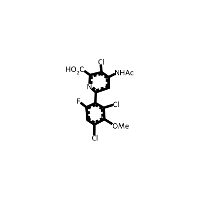 COc1c(Cl)cc(F)c(-c2cc(NC(C)=O)c(Cl)c(C(=O)O)n2)c1Cl